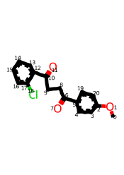 COc1ccc(C(=O)CCC(=O)c2ccccc2Cl)cc1